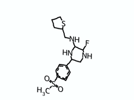 CS(=O)(=O)c1ccc(C2CNC(F)C(NCC3CCCS3)N2)cc1